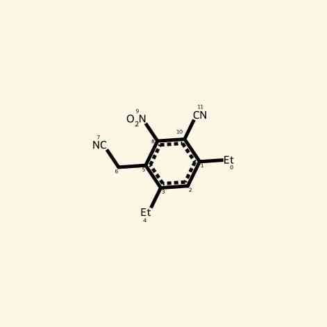 CCc1cc(CC)c(CC#N)c([N+](=O)[O-])c1C#N